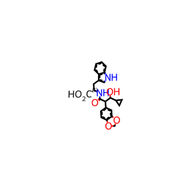 O=C(N[C@@H](Cc1c[nH]c2ccccc12)C(=O)O)C(c1ccc2c(c1)OCO2)C(O)C1CC1